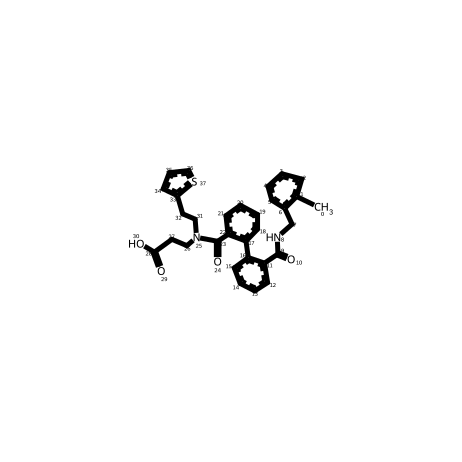 Cc1ccccc1CNC(=O)c1ccccc1-c1ccccc1C(=O)N(CCC(=O)O)CCc1cccs1